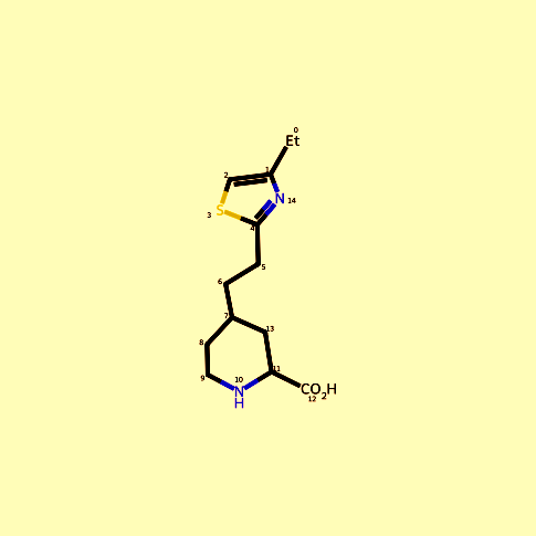 CCc1csc(CCC2CCNC(C(=O)O)C2)n1